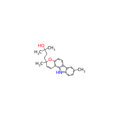 Cc1ccc2[nH]c3c4c(ccc3c2c1)OC(C)(CCC(C)(C)O)C=C4